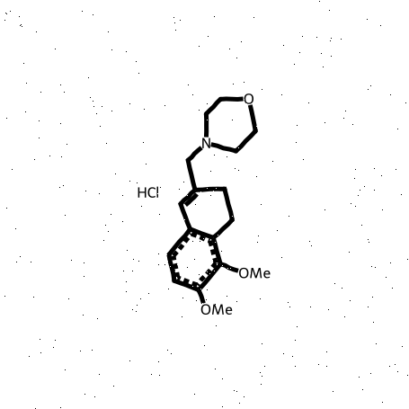 COc1ccc2c(c1OC)CCC(CN1CCOCC1)=C2.Cl